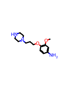 COc1cc(N)ccc1OCCCN1CCNCC1